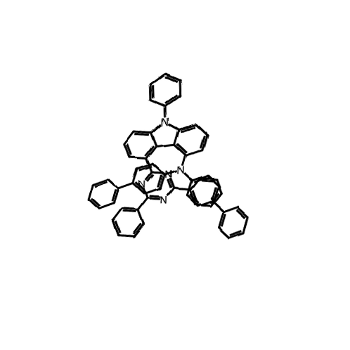 c1ccc(-c2ccc(N(c3ccc(-c4ccccc4)cc3)c3cccc4c3c3c(-c5nc(-c6ccccc6)nc(-c6ccccc6)n5)cccc3n4-c3ccccc3)cc2)cc1